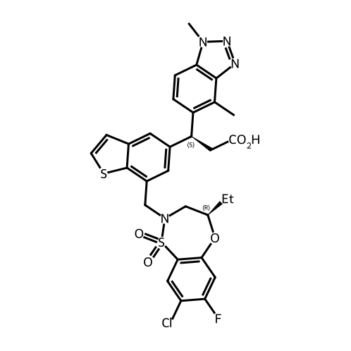 CC[C@@H]1CN(Cc2cc([C@H](CC(=O)O)c3ccc4c(nnn4C)c3C)cc3ccsc23)S(=O)(=O)c2cc(Cl)c(F)cc2O1